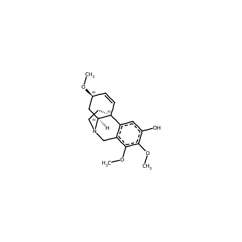 COc1c(O)cc2c(c1OC)CN1CC[C@]23C=C[C@H](OC)C[C@H]13